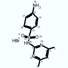 Br.Cc1cc(C)nc(NS(=O)(=O)c2ccc(N)cc2)n1